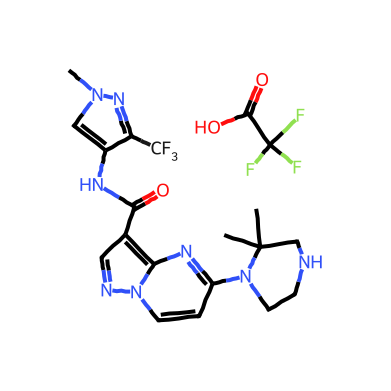 Cn1cc(NC(=O)c2cnn3ccc(N4CCNCC4(C)C)nc23)c(C(F)(F)F)n1.O=C(O)C(F)(F)F